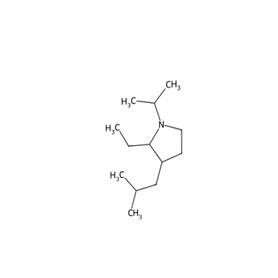 CCC1C(CC(C)C)CCN1C(C)C